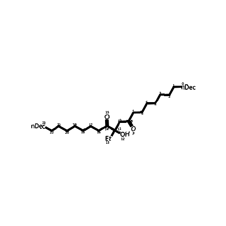 CCCCCCCCCCCCCCCCCC(=O)CC(O)(CC)C(=O)CCCCCCCCCCCCCCCCC